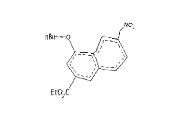 CCCCOc1cc(C(=O)OCC)cc2ccc([N+](=O)[O-])cc12